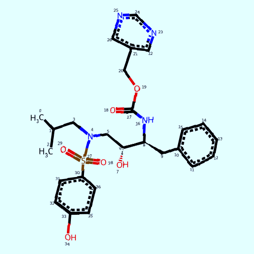 CC(C)CN(C[C@@H](O)[C@H](Cc1ccccc1)NC(=O)OCc1cncnc1)S(=O)(=O)c1ccc(O)cc1